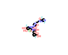 O=C(NCCCN1CCN(C(=O)N[C@H](C(=O)N[C@H]2Cc3ccc(F)c(C(=O)O)c3OB2O)c2cc(F)c(O)c(O)c2Cl)C(=O)C1=O)c1cc(F)ncc1F